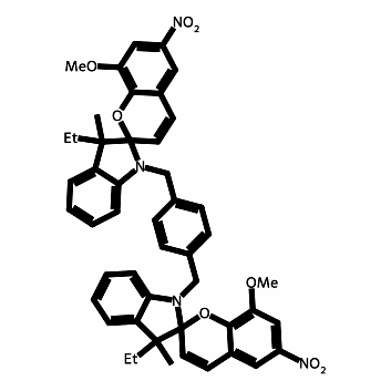 CCC1(C)c2ccccc2N(Cc2ccc(CN3c4ccccc4C(C)(CC)C34C=Cc3cc([N+](=O)[O-])cc(OC)c3O4)cc2)C12C=Cc1cc([N+](=O)[O-])cc(OC)c1O2